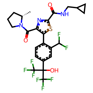 C[C@H]1CCCN1C(=O)c1nc(C(=O)NCC2CC2)sc1-c1ccc(C(O)(C(F)(F)F)C(F)(F)F)cc1C(F)F